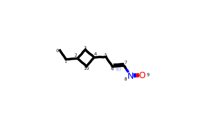 CCC1CC(C/C=C/N=O)C1